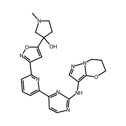 CN1CCC(O)(c2cc(-c3cccc(-c4ccnc(Nc5cnn6c5OCCC6)n4)n3)no2)C1